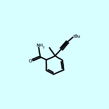 CC(C)(C)C#CC1(C)C=CC=CC1C(N)=O